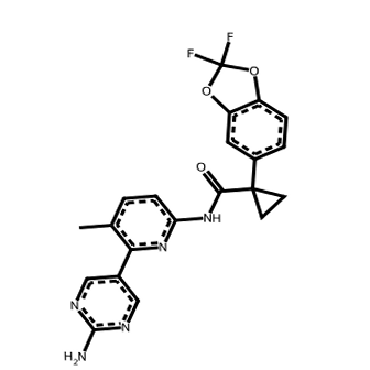 Cc1ccc(NC(=O)C2(c3ccc4c(c3)OC(F)(F)O4)CC2)nc1-c1cnc(N)nc1